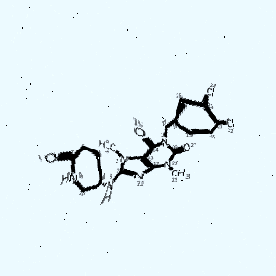 Cn1c(N[C@H]2CCC(=O)NC2)nc2c1c(=O)n(Cc1ccc(Cl)c(Cl)c1)c(=O)n2C